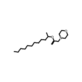 C=C(CN1CCOCC1)OC(C)CCCCCCCCCC